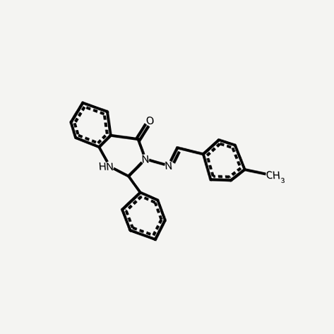 Cc1ccc(C=NN2C(=O)c3ccccc3NC2c2ccccc2)cc1